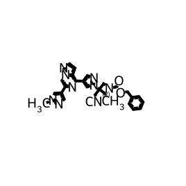 C[C@H]1N(C(=O)OCc2ccccc2)CC1(CC#N)n1cc(-c2nc(-c3cnn(C)c3)cn3nccc23)cn1